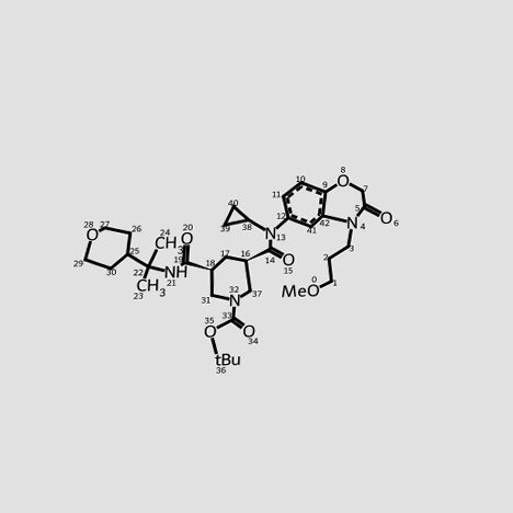 COCCCN1C(=O)COc2ccc(N(C(=O)[C@@H]3C[C@H](C(=O)NC(C)(C)C4CCOCC4)CN(C(=O)OC(C)(C)C)C3)C3CC3)cc21